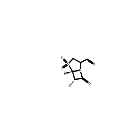 O=CC1CS(=O)(=O)[C@H]2[C@@H](Cl)C(=O)N12